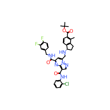 Cc1c(C(=O)OC(C)(C)C)ccc2c1CC[C@@H]2NCc1cc(C(=O)NCc2ccc(F)c(F)c2)nc2c(C(=O)Nc3ccccc3Cl)cnn12